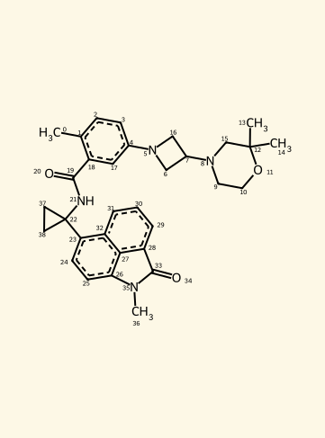 Cc1ccc(N2CC(N3CCOC(C)(C)C3)C2)cc1C(=O)NC1(c2ccc3c4c(cccc24)C(=O)N3C)CC1